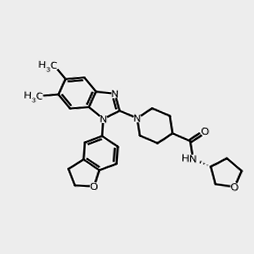 Cc1cc2nc(N3CCC(C(=O)N[C@@H]4CCOC4)CC3)n(-c3ccc4c(c3)CCO4)c2cc1C